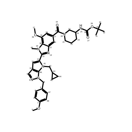 COc1ccc(Cn2ncc3cc(-c4nc5cc(C(=O)N6CCCC(NC(=O)OC(C)(C)C)C6)cc(OC)c5n4C)n(CC4CC4)c32)cc1